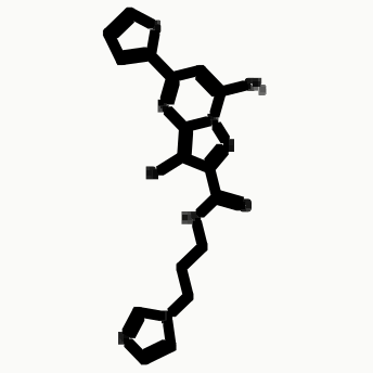 O=C(NCCCn1ccnc1)c1nn2c(C(F)(F)F)cc(-c3cccs3)nc2c1Br